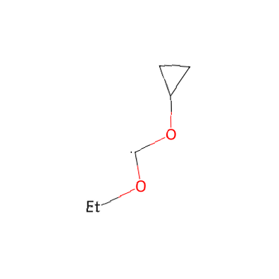 CCO[CH]OC1CC1